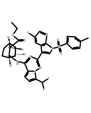 CCOC(=O)[C@H]1[C@H]2CC[C@H](CC2)[C@@H]1Nc1nc(-c2cn(S(=O)(=O)c3ccc(C)cc3)c3ncc(F)cc23)nn2c(C(F)F)ccc12